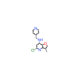 Cc1coc2c(NCc3ccncc3)cc(Cl)nc12